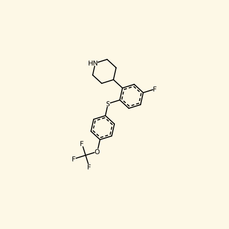 Fc1ccc(Sc2ccc(OC(F)(F)F)cc2)c(C2CCNCC2)c1